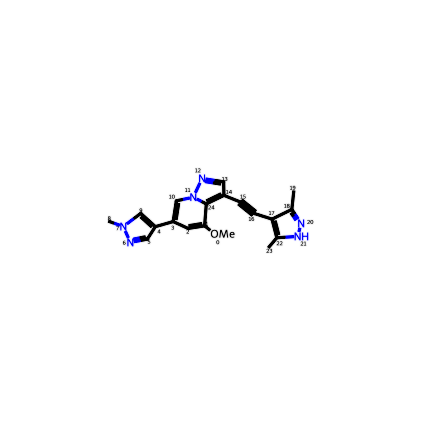 COc1cc(-c2cnn(C)c2)cn2ncc(C#Cc3c(C)n[nH]c3C)c12